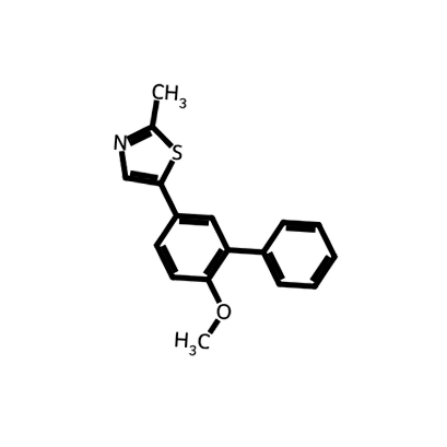 COc1ccc(-c2cnc(C)s2)cc1-c1ccccc1